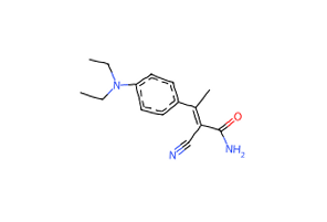 CCN(CC)c1ccc(/C(C)=C(\C#N)C(N)=O)cc1